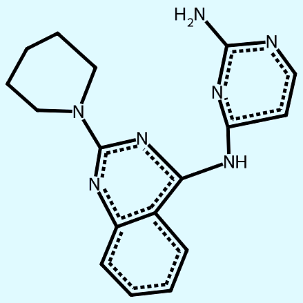 Nc1nccc(Nc2nc(N3CCCCC3)nc3ccccc23)n1